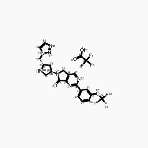 O=C(O)C(F)(F)F.O=C1c2nc(-c3cccc(OC(F)(F)F)c3)ncc2CN1[C@H]1CN[C@H](Cn2ccnn2)C1